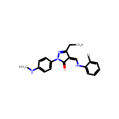 CCOC(=O)Nc1ccc(N2N=C(CC(=O)O)C(=CNc3ccccc3CC)C2=O)cc1